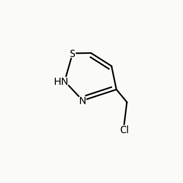 ClCC1=NNSC=C1